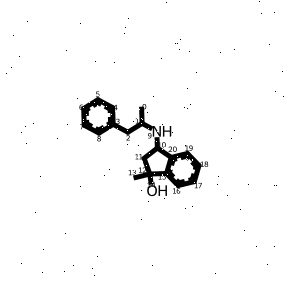 CC(Cc1ccccc1)NC1CC(C)(O)c2ccccc21